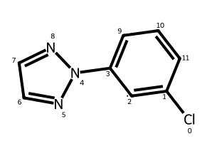 Clc1[c]c(-n2nccn2)ccc1